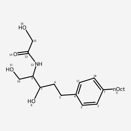 CCCCCCCCc1ccc(CCC(O)C(CO)NC(=O)CO)cc1